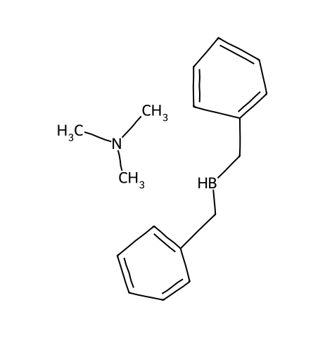 B(Cc1ccccc1)Cc1ccccc1.CN(C)C